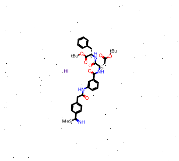 CSC(=N)c1ccc(CC(=O)Nc2cccc(C(=O)N[C@@H](CC(=O)OC(C)(C)C)C(=O)N[C@@H](Cc3ccccc3)C(=O)OC(C)(C)C)c2)cc1.I